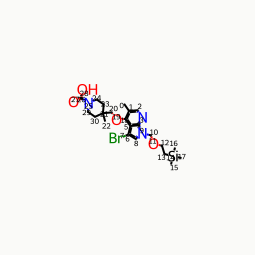 Cc1cnc2c(c(Br)cn2COCC[Si](C)(C)C)c1OCC1(C)CCN(C(=O)O)CC1